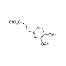 CCOC(=O)CCc1ccc(OC(C)=O)c(OC(C)=O)c1